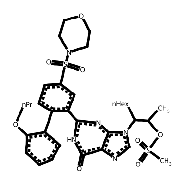 CCCCCCC(C(C)OS(C)(=O)=O)n1cnc2c(=O)[nH]c(-c3cc(S(=O)(=O)N4CCOCC4)ccc3-c3ccccc3OCCC)nc21